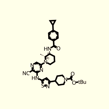 C[C@@H]1[C@H](NC(=O)c2ccc(C3CC3)cc2)CCCN1c1cnc(C#N)c(Nc2cc(C3CCN(C(=O)OC(C)(C)C)CC3)ns2)n1